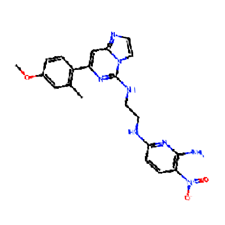 COc1ccc(-c2cc3nccn3c(NCCNc3ccc([N+](=O)[O-])c(N)n3)n2)c(C)c1